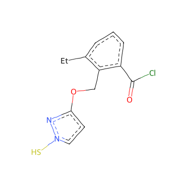 CCc1cccc(C(=O)Cl)c1COc1ccn(S)n1